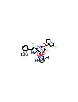 CC(C)(C)OC(=O)N1[C@@H]2CC[C@H]1CN(c1nc(OCC34CCCN3CC(F)C4)nc3c(F)c(-c4ccccc4C(C)(C)C)ncc13)C2